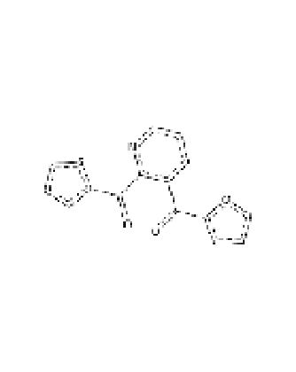 O=C(c1ccco1)c1cccnc1C(=O)c1cccs1